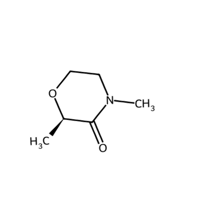 C[C@H]1OCCN(C)C1=O